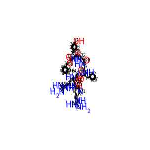 CC(C)C[C@H](NC(=O)[C@H](Cc1ccccc1)NC(=O)CNC(=O)[C@@H](C)NC(=O)[C@H](Cc1ccc(O)cc1)NC(=O)OCc1ccccc1)C(=O)N[C@@H](CCCNC(=N)N)C(=O)N[C@@H](CCCNC(=N)N)C(=O)N(C)C